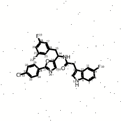 O=C(Cc1c[nH]c2ccc(F)cc12)NC(Cc1cc(F)cc(F)c1)c1cnc(-c2ccc(Cl)cc2)o1